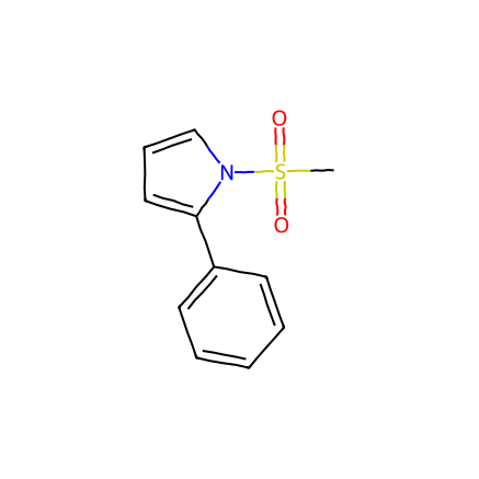 CS(=O)(=O)n1cccc1-c1ccccc1